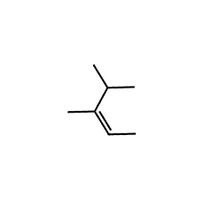 CC=C(C)C(C)C